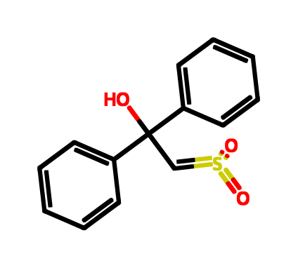 O=S(=O)=CC(O)(c1ccccc1)c1ccccc1